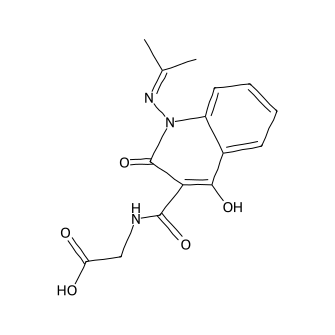 CC(C)=Nn1c(=O)c(C(=O)NCC(=O)O)c(O)c2ccccc21